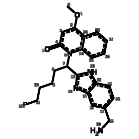 COc1cc(=O)n(C(CCCCF)c2nc3cc(CN)ccc3[nH]2)c2ccccc12